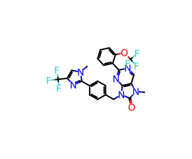 Cn1cc(C(F)(F)F)nc1-c1ccc(Cn2c(=O)n(C)c3cnc(-c4ccccc4OC(F)(F)F)nc32)cc1